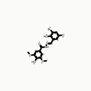 COc1cc(C(=O)N/N=C/c2cc(Cl)cc(Br)c2O)cc(OC)c1O